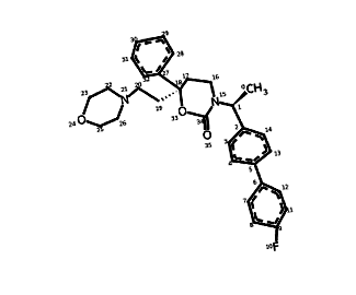 C[C@@H](c1ccc(-c2ccc(F)cc2)cc1)N1CC[C@](CCN2CCOCC2)(c2ccccc2)OC1=O